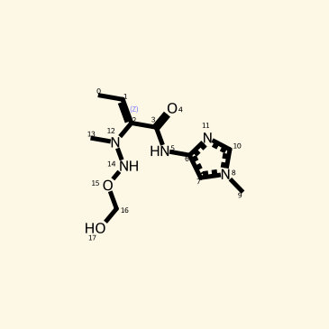 C/C=C(/C(=O)Nc1cn(C)cn1)N(C)NOCO